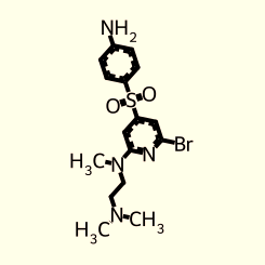 CN(C)CCN(C)c1cc(S(=O)(=O)c2ccc(N)cc2)cc(Br)n1